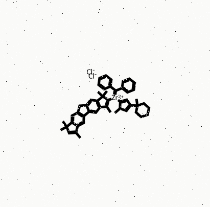 CC1=CC(C)(C)c2cc3c(cc21)-c1cc2c(cc1C3)C(C)(C)[C]([Zr+2]([C]1=CC(C3(C)CCCCC3)=CC1C)=[C](c1ccccc1)c1ccccc1)=C2C.[Cl-].[Cl-]